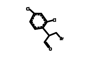 O=CC(CBr)c1ccc(Cl)cc1Cl